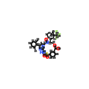 CCCON1c2cc(-c3c(C)cccc3C)nc(n2)NS(=O)(=O)c2cccc(c2)C(=O)OCC1CCC1(C(F)(F)F)CC1